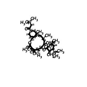 CO[C@]1(C)C[C@@H](C)CN(C)C2(CCN(C(=O)CN(C)C)CC2)COC(=O)C(C)(C)C(=O)[C@H](C)[C@H]1O[C@@H]1O[C@H](C)C[C@H](N(C)C)[C@H]1O